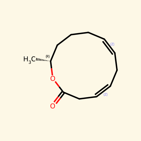 C[C@@H]1CCC/C=C\C/C=C\CC(=O)O1